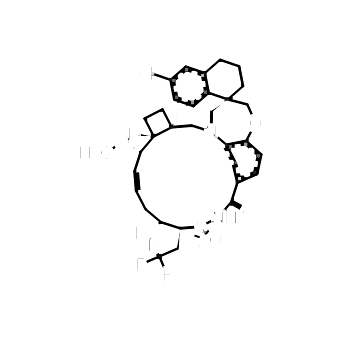 CO[C@H]1/C=C\C[C@H](C)[C@H](CC(F)(F)F)S(=O)(=O)NC(=O)c2ccc3c(c2)N(C[C@@H]2CC[C@H]21)C[C@@]1(CCCc2cc(Cl)ccc21)CO3